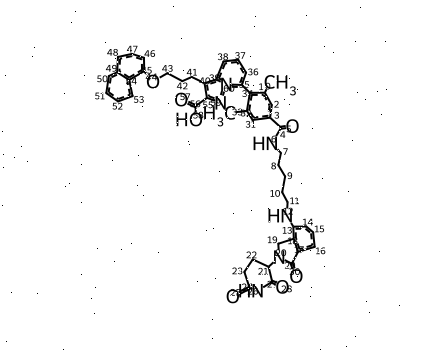 Cc1cc(C(=O)NCCCCCNc2cccc3c2CN(C2CCC(=O)NC2=O)C3=O)cc(C)c1-c1cccc2c(CCCOc3cccc4ccccc34)c(C(=O)O)nn12